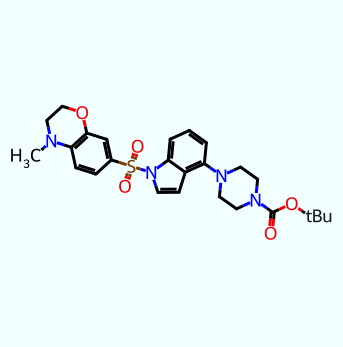 CN1CCOc2cc(S(=O)(=O)n3ccc4c(N5CCN(C(=O)OC(C)(C)C)CC5)cccc43)ccc21